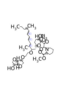 CCC[C@H](C)/C=C/C=C/C=C(\C)C(C[C@@H]1CC[C@@H](C)[C@](OC)(C(=O)C(=O)N2CCCC[C@H]2C(=O)OC)O1)OCCO[C@@H]1CO[C@H]2[C@@H]1OC[C@@H]2O